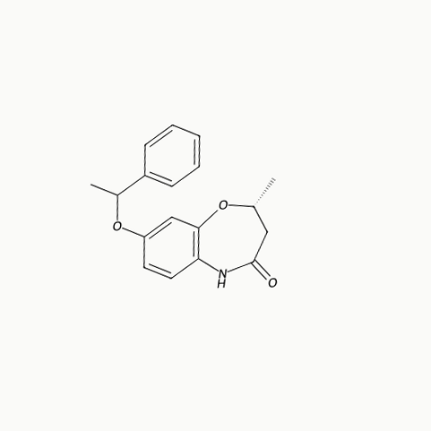 CC(Oc1ccc2c(c1)O[C@H](C)CC(=O)N2)c1ccccc1